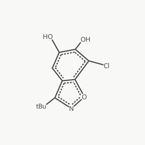 CC(C)(C)c1noc2c(Cl)c(O)c(O)cc12